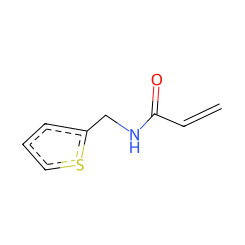 C=CC(=O)NCc1cccs1